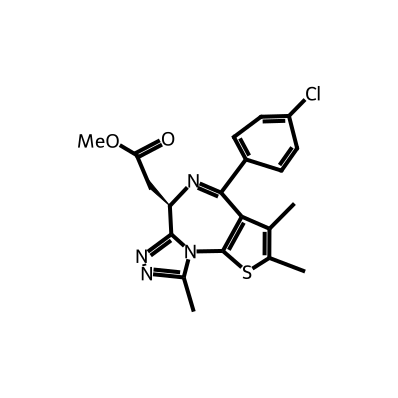 COC(=O)C[C@H]1N=C(c2ccc(Cl)cc2)c2c(sc(C)c2C)-n2c(C)nnc21